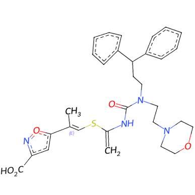 C=C(NC(=O)N(CCC(c1ccccc1)c1ccccc1)CCN1CCOCC1)S/C=C(\C)c1cc(C(=O)O)no1